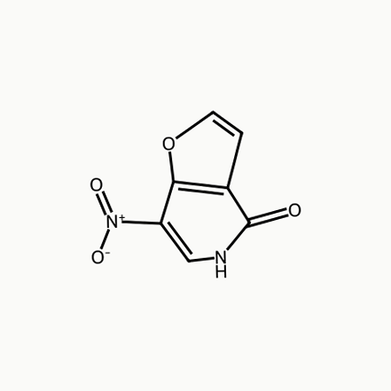 O=c1[nH]cc([N+](=O)[O-])c2occc12